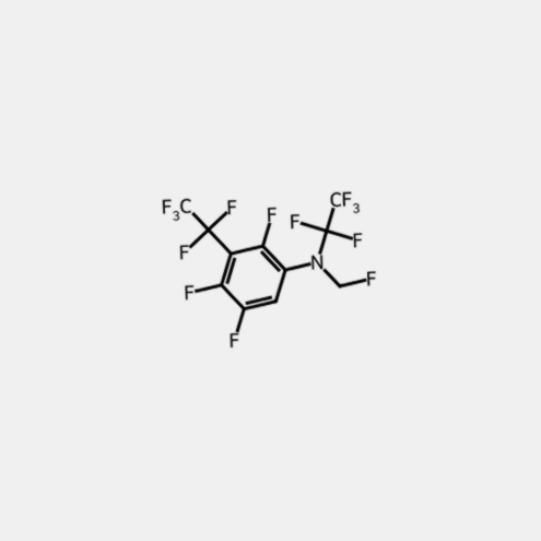 FCN(c1cc(F)c(F)c(C(F)(F)C(F)(F)F)c1F)C(F)(F)C(F)(F)F